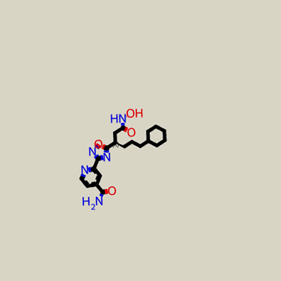 NC(=O)c1ccnc(-c2noc([C@H](CCCC3CCCCC3)CC(=O)NO)n2)c1